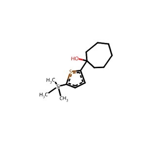 C[Si](C)(C)c1ccc(C2(O)CCCCCC2)s1